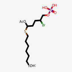 CCCCCCCCCCCCCCCCSC(CCC(Br)COP(=O)(O)O)OC(C)=O